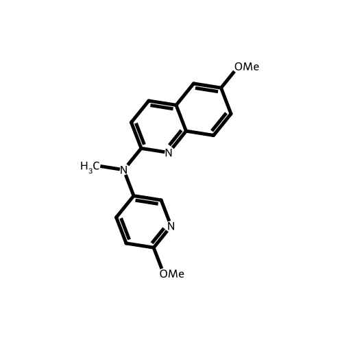 COc1ccc2nc(N(C)c3ccc(OC)nc3)ccc2c1